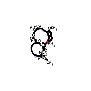 CCOC(=O)[C@@]12C[C@H]1/C=C\CCCCC[C@@H]1NC(=O)OCCC(C)(C)C/C=C/c3cc4cc(ccc4cc3OC)[C@]3(OC)C[C@@H](C(=O)N2)N(C3)C1=O